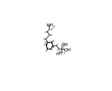 CCCC(O)(CCC)CCc1cccc(CCCCN)c1